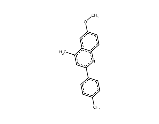 [CH2]c1cc(-c2ccc(C)cc2)nc2ccc(OC)cc12